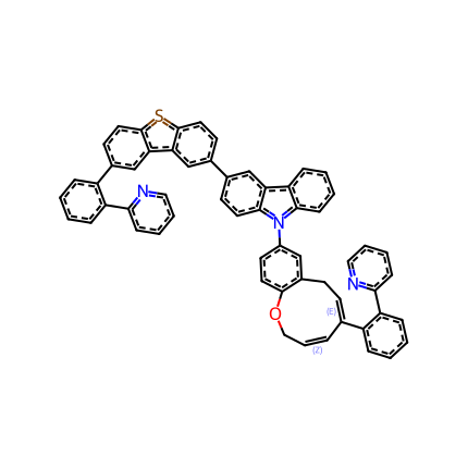 C1=C\C(c2ccccc2-c2ccccn2)=C/Cc2cc(-n3c4ccccc4c4cc(-c5ccc6sc7ccc(-c8ccccc8-c8ccccn8)cc7c6c5)ccc43)ccc2OC/1